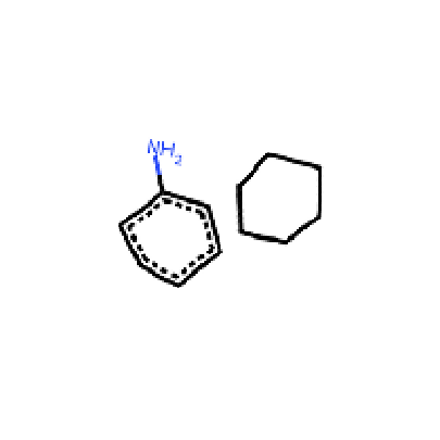 C1CCCCC1.Nc1ccccc1